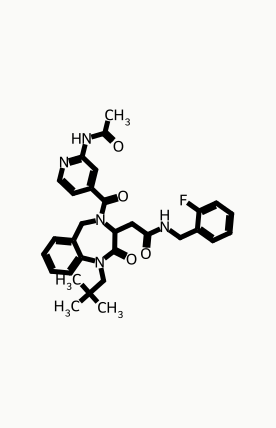 CC(=O)Nc1cc(C(=O)N2Cc3ccccc3N(CC(C)(C)C)C(=O)C2CC(=O)NCc2ccccc2F)ccn1